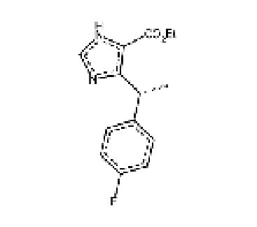 CCOC(=O)c1[nH]cnc1[C@H](C)c1ccc(F)cc1